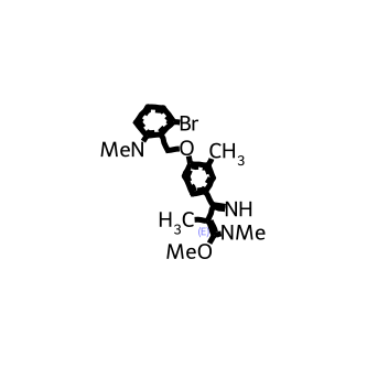 CN/C(OC)=C(/C)C(=N)c1ccc(OCc2c(Br)cccc2NC)c(C)c1